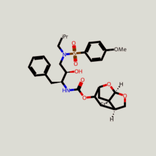 CC[C@]12CC3O[C@H]1OC[C@H]2CC3OC(=O)N[C@@H](Cc1ccccc1)[C@H](O)CN(CC(C)C)S(=O)(=O)c1ccc(OC)cc1